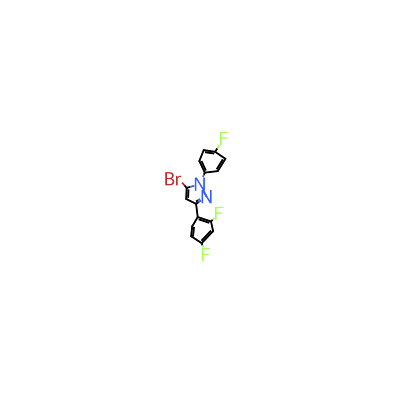 Fc1ccc(-n2nc(-c3ccc(F)cc3F)cc2Br)cc1